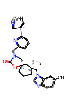 CN/C=C(\C=N)c1cccc(CN2C[C@]3(CCC[C@](C)(Cn4cnc5ccc(C#N)cc54)C3)OC2=O)n1